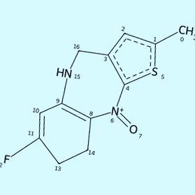 Cc1cc2c(s1)[N+](=O)C1=C(C=C(F)CC1)NC2